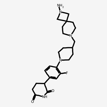 NN1CC2(CCN(CC3CCN(c4ccc(C5CCC(=O)NC5=O)cc4F)CC3)CC2)C1